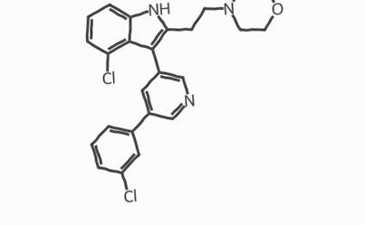 Clc1cccc(-c2cncc(-c3c(CCN4CCOCC4)[nH]c4cccc(Cl)c34)c2)c1